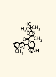 Cc1nc(C(C)(C)O)oc1C(=O)N1CCc2[nH]cnc2C1c1cc2cccc(C)n2n1